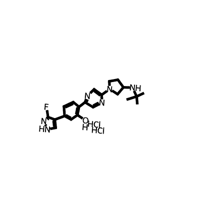 CC(C)(C)NC1CCN(c2cnc(-c3ccc(-c4c[nH]nc4F)cc3O)cn2)C1.Cl.Cl